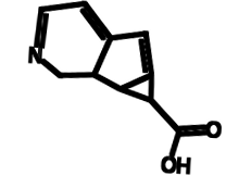 O=C(O)C1C2=CC3=CC=NCC3C21